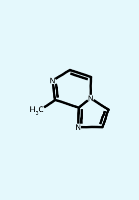 Cc1nccn2ccnc12